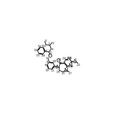 CCC(C)CC(OCc1cccc(N2CCN(C)c3nc(SC)ncc3C2=O)c1)c1ccccc1